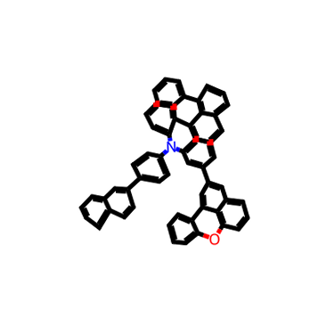 c1ccc(-c2cccc3cccc(-c4ccccc4N(c4ccc(-c5ccc6ccccc6c5)cc4)c4cccc(-c5cc6c7c(cccc7c5)Oc5ccccc5-6)c4)c23)cc1